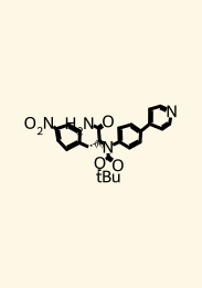 CC(C)(C)OC(=O)N(c1ccc(-c2ccncc2)cc1)[C@H](Cc1ccc([N+](=O)[O-])cc1)C(N)=O